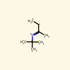 CCC(C)=NC(C)(C)C